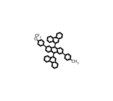 Cc1ccc(-c2ccc3c(-c4cc5ccccc5c5ccccc45)c4cc(-c5ccc(OC(F)(F)F)cc5)ccc4c(-c4cc5ccccc5c5ccccc45)c3c2)cc1